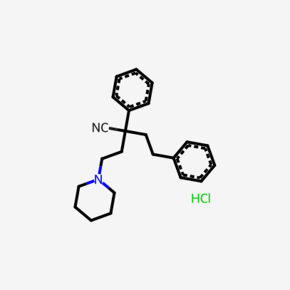 Cl.N#CC(CCc1ccccc1)(CCN1CCCCC1)c1ccccc1